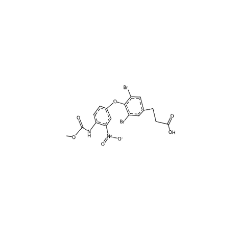 COC(=O)Nc1ccc(Oc2c(Br)cc(CCC(=O)O)cc2Br)cc1[N+](=O)[O-]